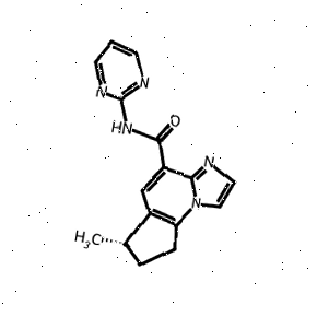 C[C@H]1CCc2c1cc(C(=O)Nc1ncccn1)c1nccn21